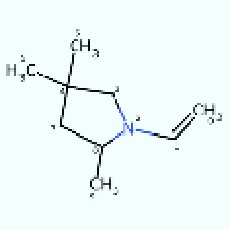 C=CN1CC(C)(C)CC1C